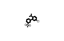 CC(C)c1ccc(Cl)cc1-c1cccc(S(C)(=O)=O)c1